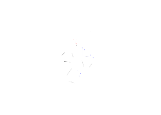 O=C(NC1CCOCC1)c1cccc(-c2ccccn2)c1-c1cccnc1